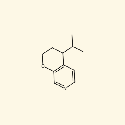 CC(C)C1CCOc2cnccc21